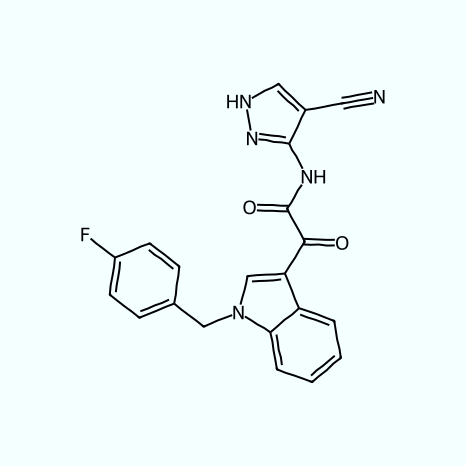 N#Cc1c[nH]nc1NC(=O)C(=O)c1cn(Cc2ccc(F)cc2)c2ccccc12